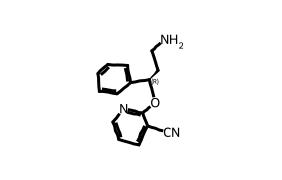 N#Cc1cccnc1O[C@H](CCN)c1ccccc1